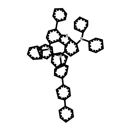 c1ccc(-c2ccc(-c3ccc(N(c4ccccc4)c4ccc(N(c5ccccc5)c5ccccc5)c5sc6c(-c7ccccc7)ccc(N(c7ccccc7)c7ccccc7)c6c45)cc3)cc2)cc1